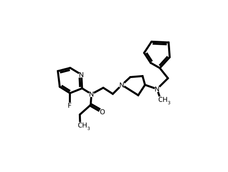 CCC(=O)N(CCN1CCC(N(C)Cc2ccccc2)C1)c1ncccc1F